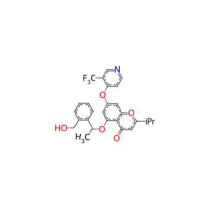 CC(C)c1cc(=O)c2c(OC(C)c3ccccc3CO)cc(Oc3ccncc3C(F)(F)F)cc2o1